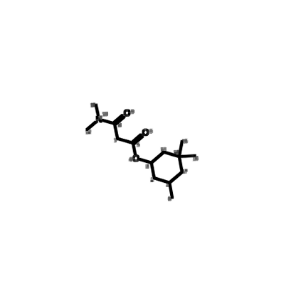 CC1CC(OC(=O)CC(=O)N(C)C)CC(C)(C)C1